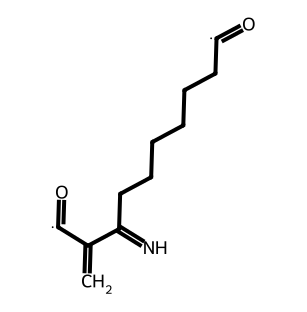 C=C([C]=O)C(=N)CCCCCC[C]=O